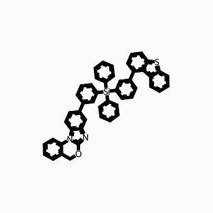 c1ccc([Si](c2ccccc2)(c2cccc(-c3ccc4c(c3)nc3n4-c4ccccc4CO3)c2)c2cccc(-c3cccc4sc5ccccc5c34)c2)cc1